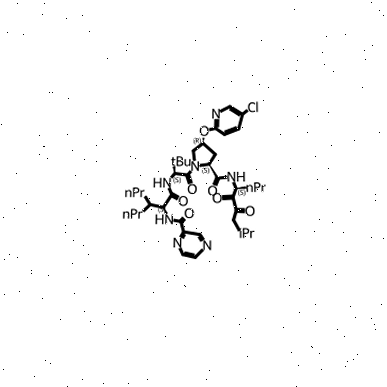 CCCC(CCC)[C@H](NC(=O)c1cnccn1)C(=O)N[C@H](C(=O)N1C[C@H](Oc2ccc(Cl)cn2)C[C@H]1C(=O)N[C@@H](CCC)C(=O)C(=O)CC(C)C)C(C)(C)C